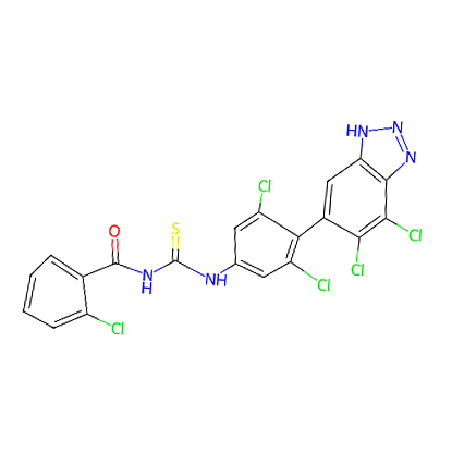 O=C(NC(=S)Nc1cc(Cl)c(-c2cc3[nH]nnc3c(Cl)c2Cl)c(Cl)c1)c1ccccc1Cl